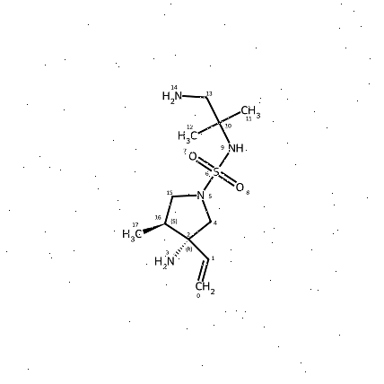 C=C[C@]1(N)CN(S(=O)(=O)NC(C)(C)CN)C[C@@H]1C